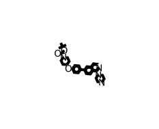 CN1CCN(c2nccc3cc(-c4ccc(OC5CCN(C(=O)OC(C)(C)C)CC5)cc4)ccc23)CC1